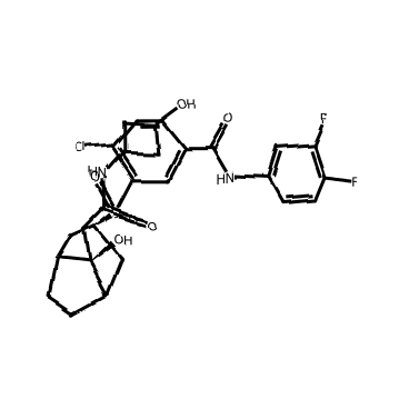 O=C(C[C@]1(O)C2CCC1C[C@@H](S(=O)(=O)c1cc(C(=O)Nc3ccc(F)c(F)c3)ccc1Cl)C2)NC1CC(O)C1